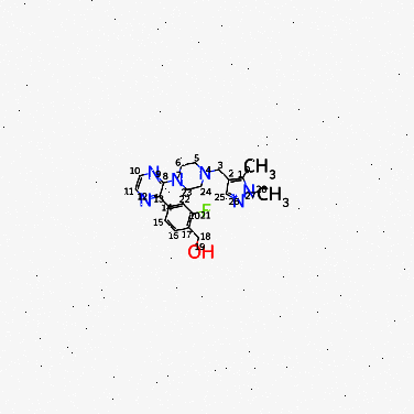 Cc1c(CN2CCN(c3nccnc3-c3ccc(CO)c(F)c3)CC2)cnn1C